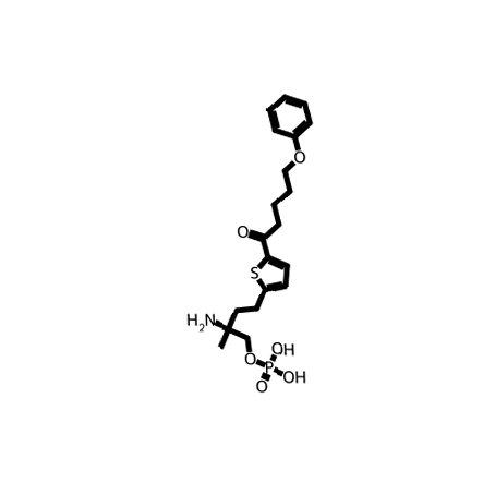 CC(N)(CCc1ccc(C(=O)CCCCOc2ccccc2)s1)COP(=O)(O)O